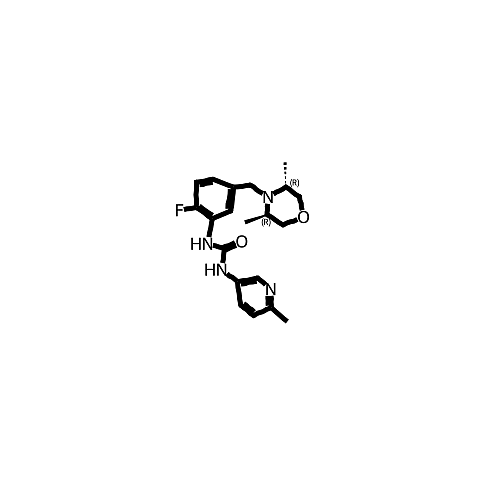 Cc1ccc(NC(=O)Nc2cc(CN3[C@H](C)COC[C@H]3C)ccc2F)cn1